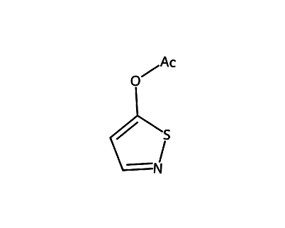 CC(=O)Oc1ccns1